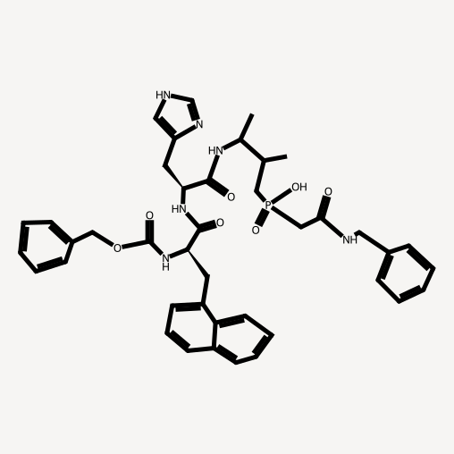 CC(CP(=O)(O)CC(=O)NCc1ccccc1)C(C)NC(=O)[C@H](Cc1c[nH]cn1)NC(=O)[C@@H](Cc1cccc2ccccc12)NC(=O)OCc1ccccc1